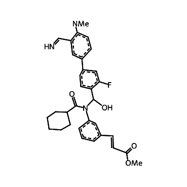 CNc1ccc(-c2ccc(C(O)N(C(=O)C3CCCCC3)c3cccc(/C=C/C(=O)OC)c3)c(F)c2)cc1C=N